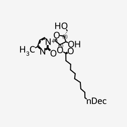 CCCCCCCCCCCCCCCCCCCC(=O)O[C@H]1C(O)[C@@H](CO)O[C@H]1n1ccc(C)nc1=O